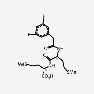 CSCC[C@H](NC(=O)[C@H](CCSC)NC(=O)Cc1cc(F)cc(F)c1)C(=O)O